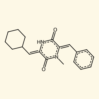 Cn1c(=O)c(=CC2CCCCC2)[nH]c(=O)c1=Cc1ccccc1